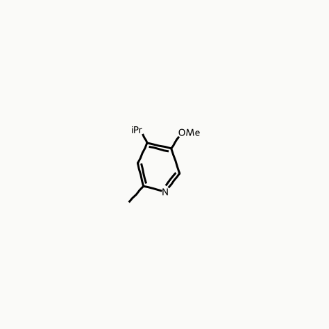 COc1cnc(C)cc1C(C)C